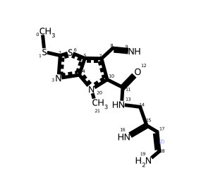 CSc1nc2c(s1)c(C=N)c(C(=O)NCC(=N)/C=C\N)n2C